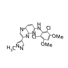 COc1cc(OC)c(Cl)c(Nc2ccc3ncc(-c4cnn(C)c4)nc3n2)c1Cl